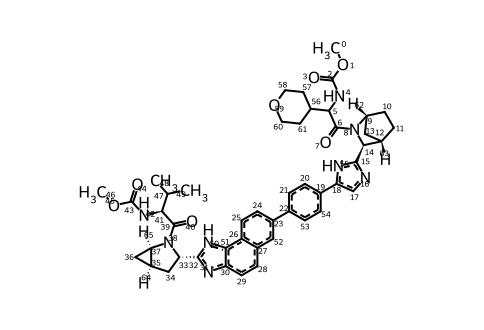 COC(=O)NC(C(=O)N1[C@@H]2CC[C@@H](C2)[C@H]1c1ncc(-c2ccc(-c3ccc4c(ccc5nc([C@@H]6C[C@H]7C[C@H]7N6C(=O)[C@@H](NC(=O)OC)C(C)C)[nH]c54)c3)cc2)[nH]1)C1CCOCC1